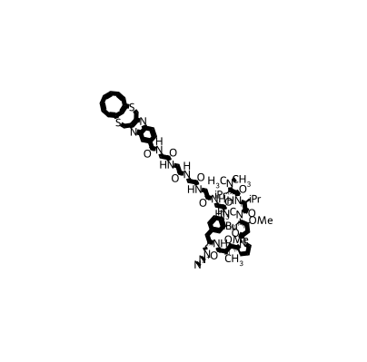 CC[C@H](C)[C@@H]([C@@H](CC(=O)N1CCC[C@H]1[C@H](OC)[C@@H](C)C(=O)N[C@H](CN=[N+]=[N-])Cc1ccc(NC(=O)CNC(=O)CNC(=O)CNC(=O)CNC(=O)CNC(=O)c2ccc3nc4c(nc3c2)CSc2cccccccc(c2)SC4)cc1)OC)N(C)C(=O)[C@@H](NC(=O)[C@H](C(C)C)N(C)C)C(C)C